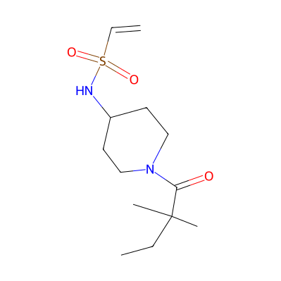 C=CS(=O)(=O)NC1CCN(C(=O)C(C)(C)CC)CC1